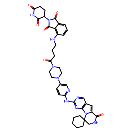 O=C1CCC(N2C(=O)c3cccc(NCCCC(=O)N4CCN(c5ccc(Nc6ncc7cc8n(c7n6)C6(CCCCC6)CNC8=O)nc5)CC4)c3C2=O)C(=O)N1